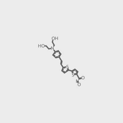 O=NC(=O)c1ccc(-c2ccc(/C=C/c3ccc(N(CCO)CCO)cc3)s2)s1